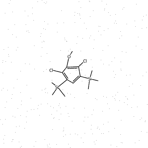 COc1c(Cl)c([Si](C)(C)C)cc([Si](C)(C)C)c1Cl